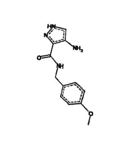 COc1ccc(CNC(=O)c2n[nH]cc2N)cc1